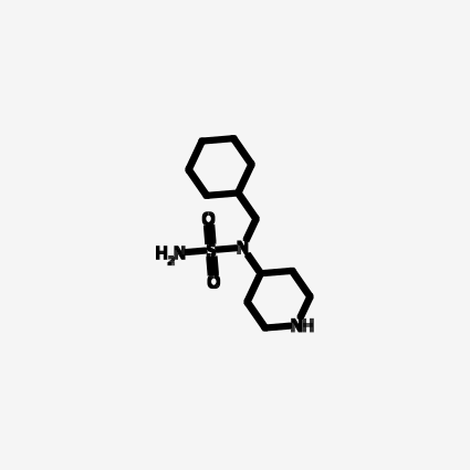 NS(=O)(=O)N(CC1CCCCC1)C1CCNCC1